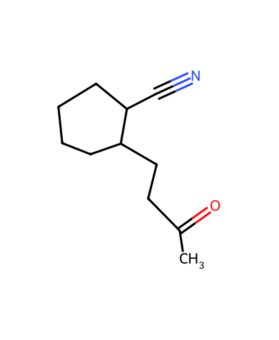 CC(=O)CCC1CCCCC1C#N